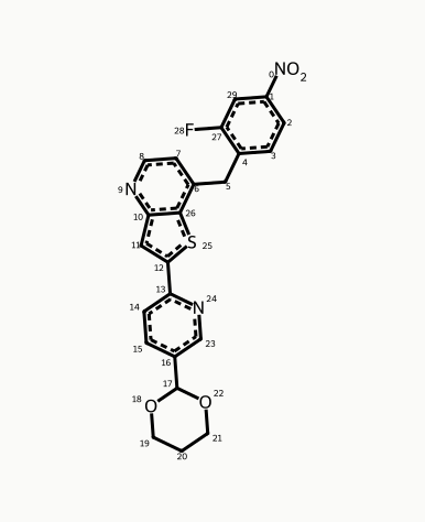 O=[N+]([O-])c1ccc(Cc2ccnc3cc(-c4ccc(C5OCCCO5)cn4)sc23)c(F)c1